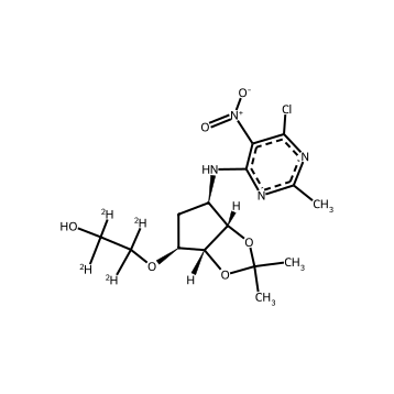 [2H]C([2H])(O)C([2H])([2H])O[C@H]1C[C@@H](Nc2nc(C)nc(Cl)c2[N+](=O)[O-])[C@@H]2OC(C)(C)O[C@@H]21